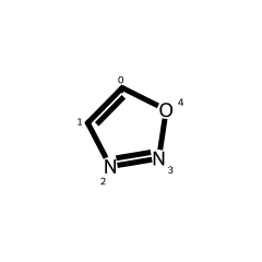 [c]1cnno1